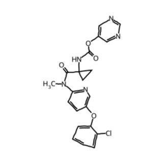 CN(C(=O)C1(NC(=O)Oc2cncnc2)CC1)c1ccc(Oc2ccccc2Cl)cn1